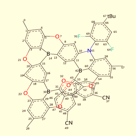 Cc1cc2c3c(c1)Oc1cc4c(cc1B3c1cc3c(cc1O2)Oc1cc(C)cc2c1B3c1oc3ccc(C#N)cc3c1O2)B1c2oc3ccc(C#N)cc3c2Oc2cc(C)cc(c21)N4c1c(F)cc(C(C)(C)C)cc1F